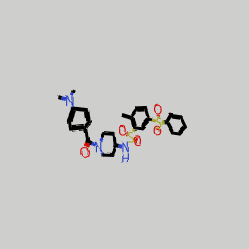 Cc1ccc(S(=O)(=O)c2ccccc2)cc1S(=O)(=O)NC1CCN(C(=O)c2ccc(N(C)C)cc2)CC1